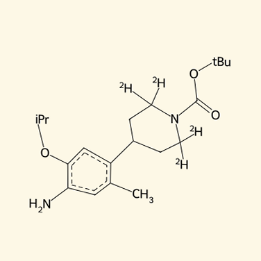 [2H]C1([2H])CC(c2cc(OC(C)C)c(N)cc2C)CC([2H])([2H])N1C(=O)OC(C)(C)C